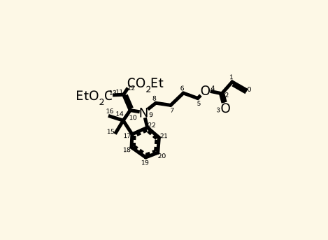 C=CC(=O)OCCCCN1C(=C(C(=O)OCC)C(=O)OCC)C(C)(C)c2ccccc21